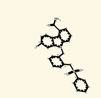 NC(=O)c1cccc2c1c1[c]cc(F)cc1n2Cc1ccccc1CS(=O)(=O)c1ccccc1